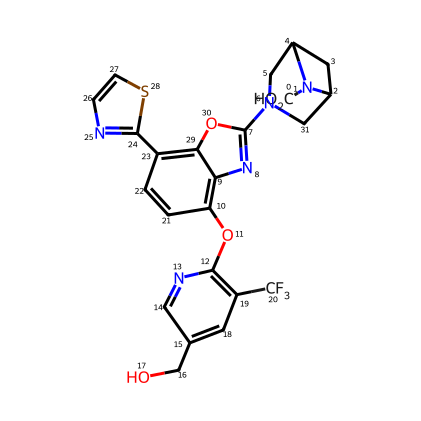 O=C(O)N1C2CC1CN(c1nc3c(Oc4ncc(CO)cc4C(F)(F)F)ccc(-c4nccs4)c3o1)C2